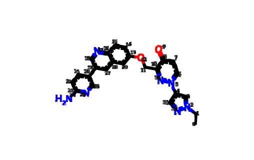 CCn1cc(-n2ccc(=O)c(COc3ccc4ncc(-c5ccc(N)nc5)cc4c3)n2)cn1